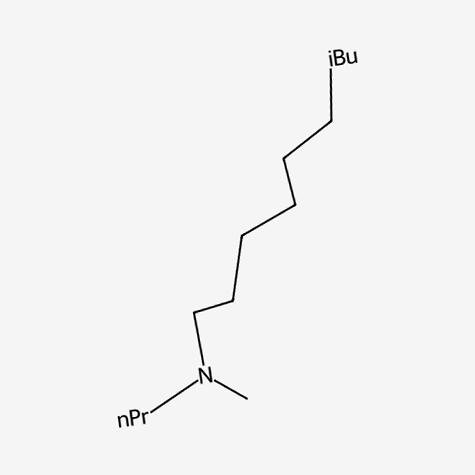 CCCN(C)CCCCCCC(C)CC